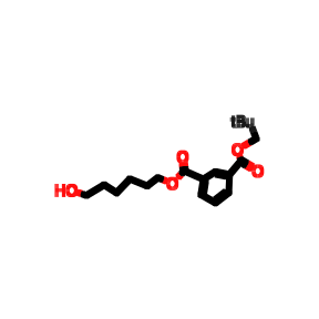 CC(C)(C)COC(=O)c1cccc(C(=O)OCCCCCCO)c1